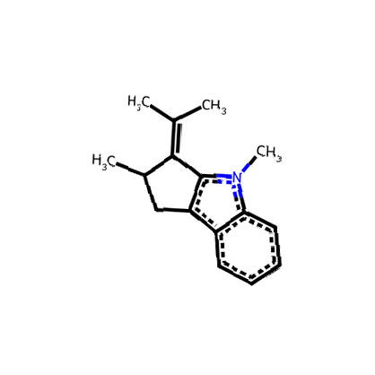 CC(C)=C1c2c(c3ccccc3n2C)CC1C